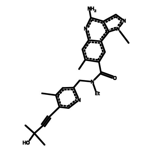 CCN(Cc1cc(C)c(C#CC(C)(C)O)cn1)C(=O)c1cc2c(cc1C)nc(N)c1cnn(C)c12